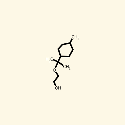 CC1CCC(C(C)(C)OCCO)CC1